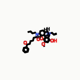 C=CCN1CC[C@]23c4c5c(O)cc(OC)c4O[C@H]2[C@@H](N(CCCC)C(=O)CCCCC(=O)c2ccccc2)CC[C@H]3[C@H]1C5